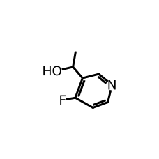 CC(O)c1cnccc1F